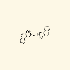 Oc1ccc2ccccc2c1/C=N/CC/N=C/c1c(O)ccc2ccccc12